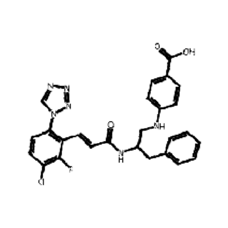 O=C(/C=C/c1c(-n2cnnn2)ccc(Cl)c1F)NC(CNc1ccc(C(=O)O)cc1)Cc1ccccc1